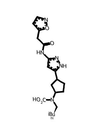 CC[C@H](C)CN(C(=O)O)C1CCC(c2cc(NC(=O)Cc3ccno3)n[nH]2)C1